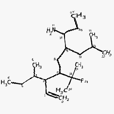 C=CC(C(C)CC)C(CC(CC(C)C)C(N)CC)C(C)(C)F